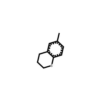 Cc1ccc2c(c1)CCCS2